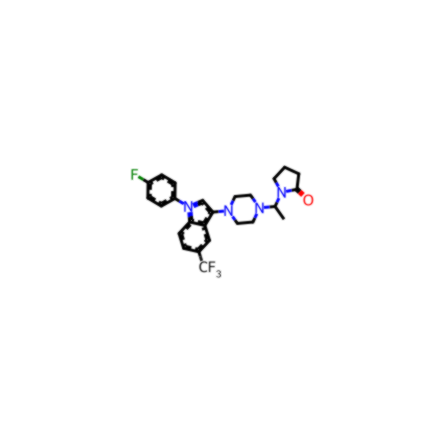 CC(N1CCN(c2cn(-c3ccc(F)cc3)c3ccc(C(F)(F)F)cc23)CC1)N1CCCC1=O